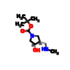 CNC[C@H]1CN(C(=O)OC(C)(C)C)C[C@H]1O